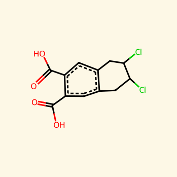 O=C(O)c1cc2c(cc1C(=O)O)CC(Cl)C(Cl)C2